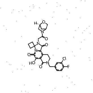 O=C1c2c(c3n(c(=O)c2O)C2(CCC2)N(CC(=O)N2C[C@@H]4CC2CO4)C3=O)CCN1Cc1ccc(F)c(Cl)c1